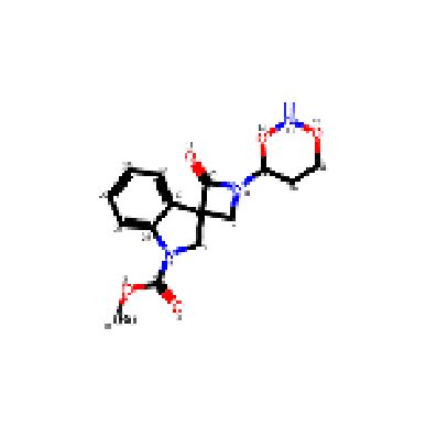 CC(C)(C)OC(=O)N1CC2(CN(C3CCONO3)C2=O)c2ccccc21